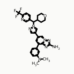 CN(C)c1cccc(-c2cc(-c3cnn(C(c4ccc(C(F)(F)F)nc4)C4CCOCC4)c3)cn3nc(N)nc23)c1